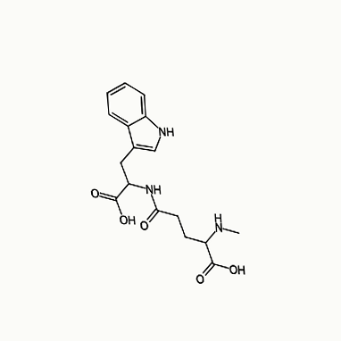 CNC(CCC(=O)NC(Cc1c[nH]c2ccccc12)C(=O)O)C(=O)O